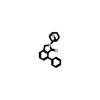 O=C1c2c(cccc2-c2ccccc2)CN1C1NC2CCC1CC2